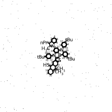 CCCC1c2ccccc2N(c2cc3c4c(c2)N(c2ccc(C(C)(C)C)cc2)c2c(sc5c2C=C2C(S)C6C=CCCC6C(C)(C)C2C5)B4c2cc(C(C)(C)C)ccc2N3c2ccc(C(C)(C)C)cc2)C1C